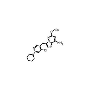 CCCCOc1nc(N)c2ncc(Cc3cnc(N4CCCCC4)cc3Cl)n2n1